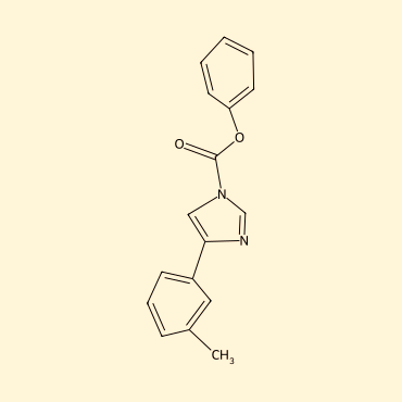 Cc1cccc(-c2cn(C(=O)Oc3ccccc3)cn2)c1